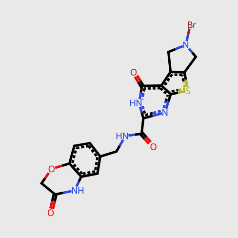 O=C1COc2ccc(CNC(=O)c3nc4sc5c(c4c(=O)[nH]3)CN(Br)C5)cc2N1